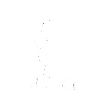 COC(=O)c1ccc(C(C)(C)NC(=O)c2cc(F)cnc2Oc2ccc(F)cc2)cc1